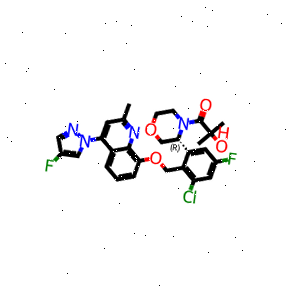 Cc1cc(-n2cc(F)cn2)c2cccc(OCc3c(Cl)cc(F)cc3[C@@H]3COCCN3C(=O)C(C)(C)O)c2n1